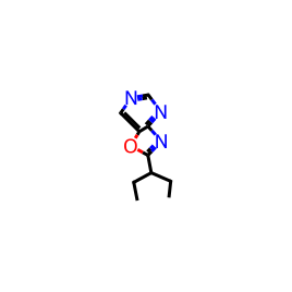 CCC(CC)c1nc2ncncc2o1